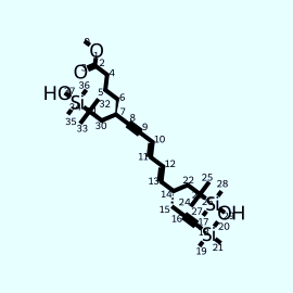 COC(=O)CCC[C@@H](C#C/C=C/C=C/[C@@H](CC#C[Si](C)(C)C)CC(C)(C)[Si](C)(C)O)CC(C)(C)[Si](C)(C)O